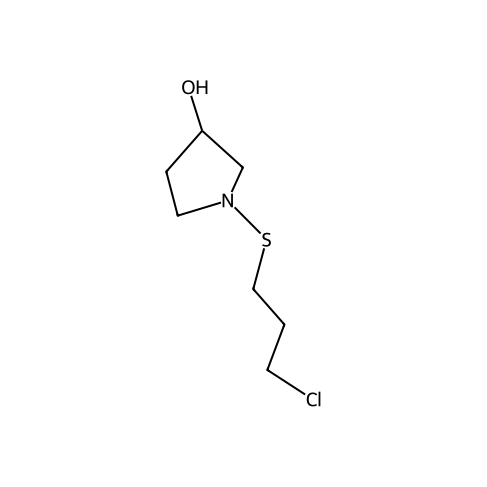 OC1CCN(SCCCCl)C1